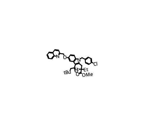 CCC(CC)(Cc1c(C(=O)CC(C)(C)C)c2cc(OCc3ccc4ccccc4n3)ccc2n1Cc1ccc(Cl)cc1)C(=O)OC